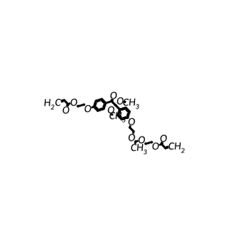 C=CC(=O)OCCOc1ccc(C(=O)C(OC)(OC)c2ccc(OCCOC(C)OCCOC(=O)C=C)cc2)cc1